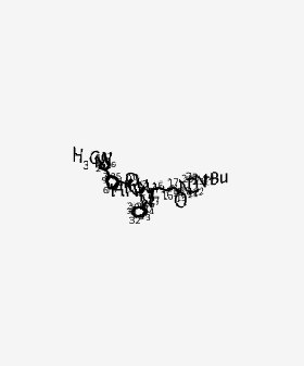 Cn1cc(-c2cccc(C(=O)Nc3nc(CCCC(=O)N4CCN(C(C)(C)C)CC4)cn3-c3ccccc3)c2)cn1